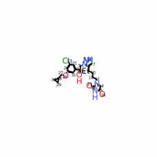 CC[C@@](O)(Cn1nncc1CCCCN1CC(=O)NC1=O)c1cc(Cl)cc(OCC2CC2)c1